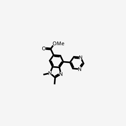 COC(=O)c1cc(-c2cncnc2)c2nc(C)n(C)c2c1